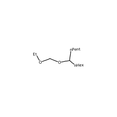 CCCCCCC(CCCCC)OCOCC